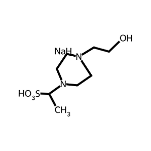 CC(N1CCN(CCO)CC1)S(=O)(=O)O.[NaH]